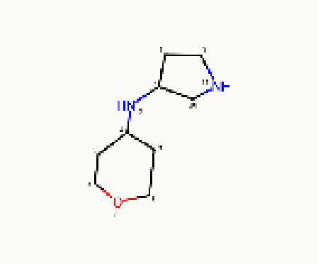 C1CC(NC2CCOCC2)CN1